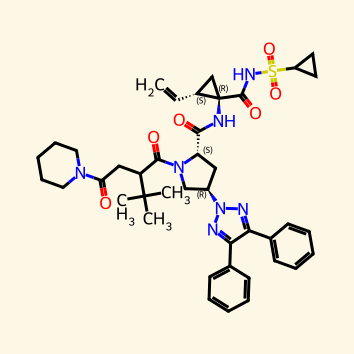 C=C[C@@H]1C[C@]1(NC(=O)[C@@H]1C[C@@H](n2nc(-c3ccccc3)c(-c3ccccc3)n2)CN1C(=O)C(CC(=O)N1CCCCC1)C(C)(C)C)C(=O)NS(=O)(=O)C1CC1